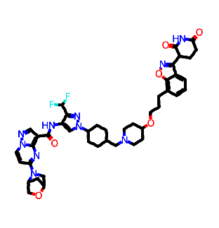 O=C1CCC(c2noc3c(CCCOC4CCN(CC5CCC(n6cc(NC(=O)c7cnn8ccc(N9CC%10CC9CO%10)nc78)c(C(F)F)n6)CC5)CC4)cccc23)C(=O)N1